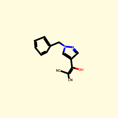 N#CC(C#N)=C(O)c1cnn(Cc2ccccc2)c1